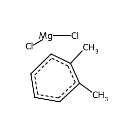 Cc1ccccc1C.[Cl][Mg][Cl]